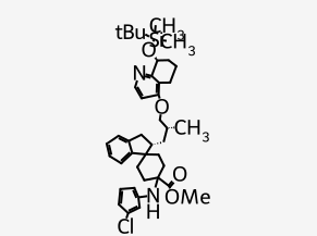 COC(=O)C1(Nc2cccc(Cl)c2)CCC2(CC1)c1ccccc1C[C@@H]2C[C@@H](C)COc1ccnc2c1CCC[C@@H]2O[Si](C)(C)C(C)(C)C